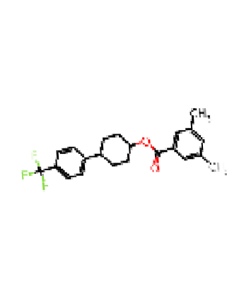 Cc1cc(C)cc(C(=O)OC2CCC(c3ccc(C(F)(F)F)cc3)CC2)c1